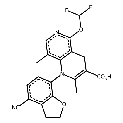 CC1=C(C(=O)O)Cc2c(OC(F)F)ncc(C)c2N1c1ccc(C#N)c2c1OCC2